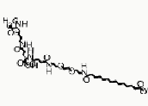 CN[C@@H](CCCCNC(=O)CC[C@H](NC(=O)CCC(=O)NCCOCCOCCNC(=O)CCCCCCCCCCCCC(=O)O)C(=O)O)C(=O)O